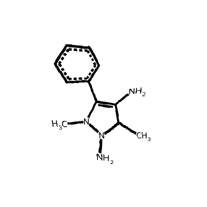 CC1C(N)=C(c2ccccc2)N(C)N1N